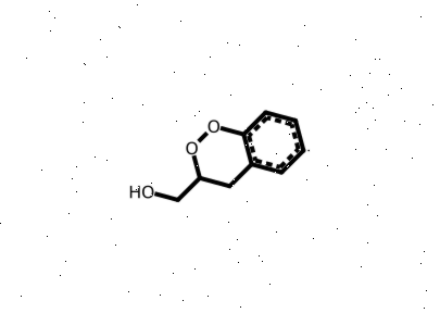 OCC1Cc2c[c]ccc2OO1